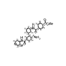 COC(=O)c1ccc(C(=O)Nc2cccc(-c3cc(C(=O)Nc4ccncc4F)ccc3CN)c2)cc1